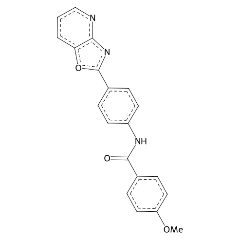 COc1ccc(C(=O)Nc2ccc(-c3nc4ncccc4o3)cc2)cc1